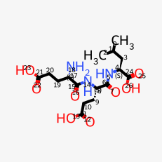 CC(C)C[C@H](NC(=O)[C@H](CCC(=O)O)NC(=O)[C@@H](N)CCC(=O)O)C(=O)O